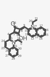 CCN1C(=CC2=C(O)C(=Cc3ccc4ccccc4[n+]3CC)C2=O)C=Cc2ccccc21